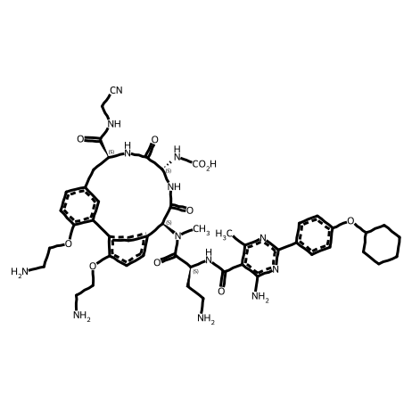 Cc1nc(-c2ccc(OC3CCCCC3)cc2)nc(N)c1C(=O)N[C@@H](CCN)C(=O)N(C)[C@@H]1C(=O)N[C@@H](NC(=O)O)C(=O)N[C@H](C(=O)NCC#N)Cc2ccc(OCCN)c(c2)-c2cc1ccc2OCCN